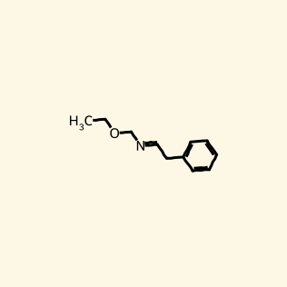 CCOCN=CCc1ccccc1